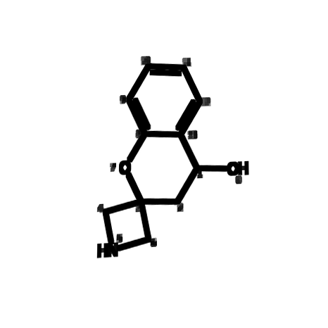 OC1CC2(CNC2)Oc2ccccc21